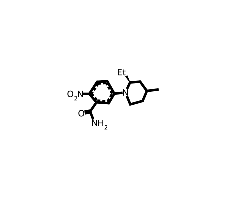 CC[C@H]1CC(C)CCN1c1ccc([N+](=O)[O-])c(C(N)=O)c1